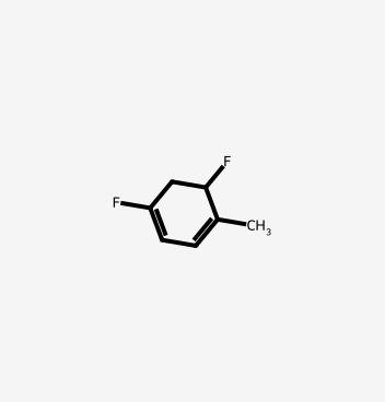 CC1=CC=C(F)CC1F